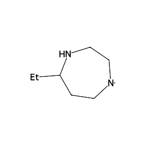 CCC1CC[N]CCN1